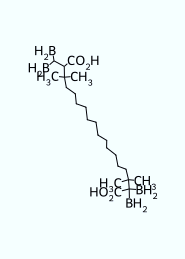 BC(B)C(C(=O)O)C(C)(C)CCCCCCCCCCCCC(C)(C)C(B)(B)C(=O)O